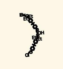 CCC(C)COC(CC)(CC)c1ccc(C(C)(C)c2ccc(OCC(O)COC(CC)(CC)c3ccc(C(C)(C)c4ccc(OCC5CO5)cc4)cc3)cc2)cc1